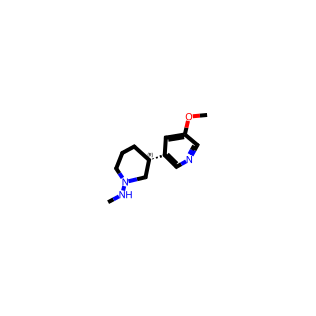 CNN1CCC[C@H](c2cncc(OC)c2)C1